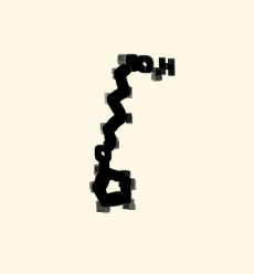 O=S(=O)(O)CCCCCCOc1cccs1